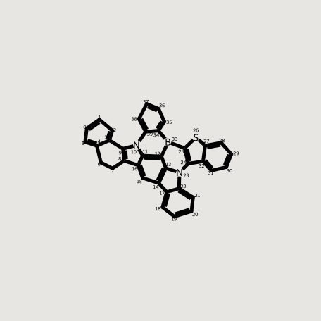 c1ccc2c(c1)CCc1c-2n2c3c4c5c(cc13)c1ccccc1n5-c1c(sc3ccccc13)B4c1ccccc1-2